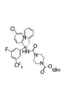 CC(C)(C)OC(=O)N1CCN(C(=O)N[C@@](Cc2ccccc2)(c2cc(F)cc(C(F)(F)F)c2)c2ccc(Cl)cn2)CC1